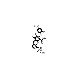 CNS(=O)(=O)Nc1nccc(Cc2cc(C(N)=O)c(Nc3ccc(C)cc3F)c(F)c2F)c1F